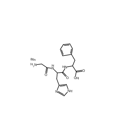 NCC(=O)NC(Cc1c[nH]cn1)C(=O)NC(Cc1ccccc1)C(=O)O.[Mn]